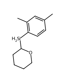 Cc1ccc([SiH2]C2CCCCO2)c(C)c1